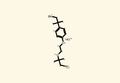 CC(C)(C)CC(C)(C)c1ccc(OCCOC(C)(C)CN)cc1.Cl